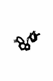 Cc1ccc(Oc2cccc3c2C2CCCNC2CC3)nn1